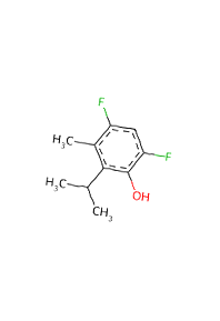 Cc1c(F)cc(F)c(O)c1C(C)C